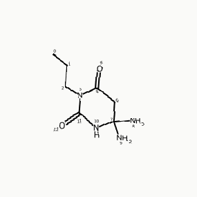 CCCN1C(=O)CC(N)(N)NC1=O